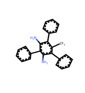 Nc1c(-c2ccccc2)c(N)c(-c2ccccc2)c(C(F)(F)F)c1-c1ccccc1